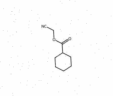 N#CCOC(=O)C1CCCCC1